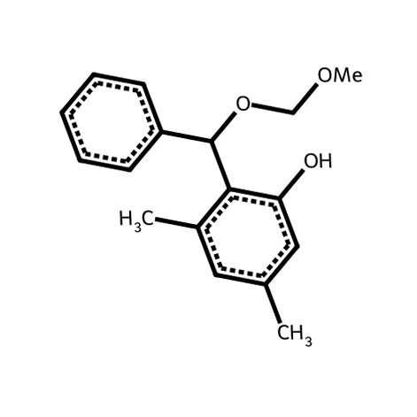 COCOC(c1ccccc1)c1c(C)cc(C)cc1O